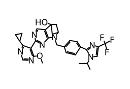 COc1ncnc(C2CC2)c1-c1ncc2c(n1)N(Cc1ccc(-c3nc(C(F)(F)F)cn3C(C)C)cc1)C1CC2(O)C1